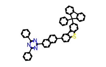 c1ccc(-c2nc(-c3ccccc3)nc(-c3ccc4cc(-c5ccc6sc7ccc(C8(c9ccccc9)c9ccccc9-c9ccccc98)cc7c6c5)ccc4c3)n2)cc1